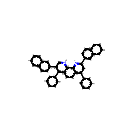 c1ccc(-c2cc(-c3ccc4ccccc4c3)nc3c2ccc2c(-c4ccccc4)c(-c4ccc5ccccc5c4)cnc23)cc1